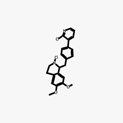 COc1cc2c(cc1OC)C(Cc1ccc(-c3cccnc3Cl)cc1)N(Cl)CC2